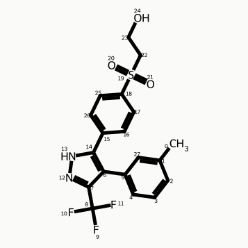 Cc1cccc(-c2c(C(F)(F)F)n[nH]c2-c2ccc(S(=O)(=O)CCO)cc2)c1